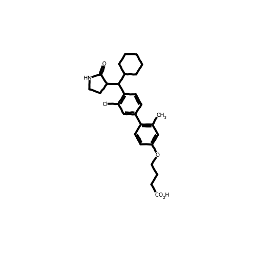 Cc1cc(OCCCC(=O)O)ccc1-c1ccc(C(C2CCCCC2)C2CCNC2=O)c(Cl)c1